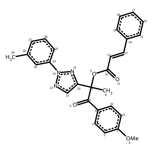 COc1ccc(C(=O)C(C)(OC(=O)/C=C/c2ccccc2)c2cnn(-c3cccc(C)c3)n2)cc1